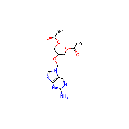 CCCC(=O)OCC(COC(=O)CCC)OCn1cnc2nc(N)ncc21